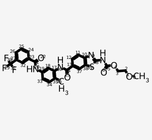 COCCOC(=O)Nc1nc2ccc(C(=O)Nc3cc(NC(=O)c4cccc(C(F)(F)F)c4)ccc3C)cc2s1